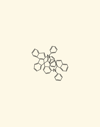 c1ccc(N(c2ccccc2)c2cc3ccccc3c3c2C2(c4ccccc4-c4c(N(c5ccccc5)c5cccc6ccccc56)cccc42)c2ccccc2-3)cc1